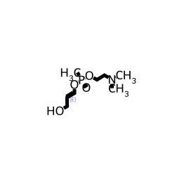 CN(C)CCOP(C)(=O)O/C=C/CO